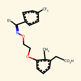 CCC(=NOCCOc1cccc(CC(=O)O)c1C)c1ccc(C(F)(F)F)cc1